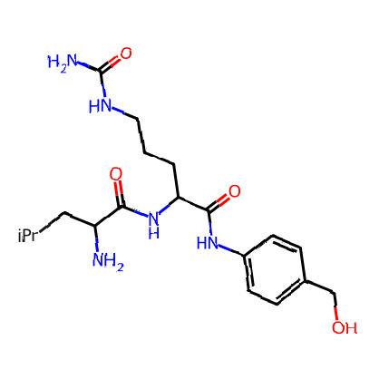 CC(C)CC(N)C(=O)NC(CCCNC(N)=O)C(=O)Nc1ccc(CO)cc1